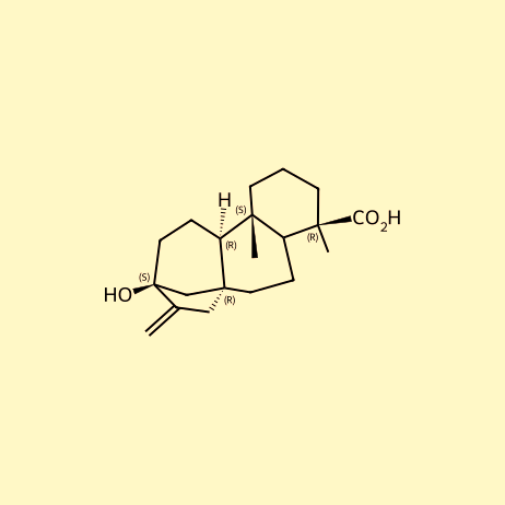 C=C1C[C@@]23CCC4[C@](C)(C(=O)O)CCC[C@@]4(C)[C@@H]2CC[C@]1(O)C3